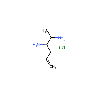 C=CCC(N)C(C)N.Cl